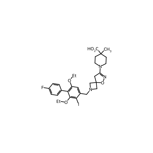 CCOc1cc(CN2CC3(CC(N4CCC(C)(C(=O)O)CC4)=NO3)C2)c(I)c(OCC)c1-c1ccc(F)cc1